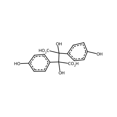 O=C(O)C(O)(c1ccc(O)cc1)C(O)(C(=O)O)c1ccc(O)cc1